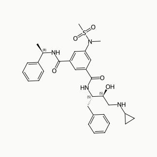 C[C@@H](NC(=O)c1cc(C(=O)N[C@@H](Cc2ccccc2)[C@@H](O)CNC2CC2)cc(N(C)S(C)(=O)=O)c1)c1ccccc1